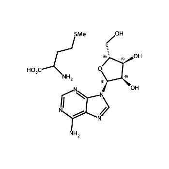 CSCCC(N)C(=O)O.Nc1ncnc2c1ncn2[C@H]1O[C@H](CO)[C@@H](O)[C@H]1O